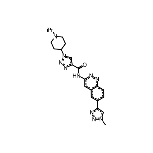 CC(C)N1CCC(n2cc(C(=O)Nc3cc4cc(-c5cn(C)nn5)ccc4nn3)nn2)CC1